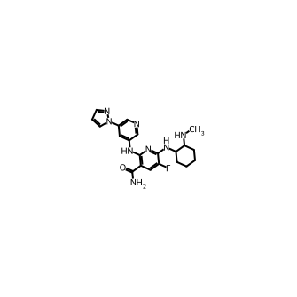 CNC1CCCCC1Nc1nc(Nc2cncc(-n3cccn3)c2)c(C(N)=O)cc1F